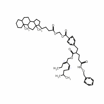 CC/C=C(\C=C/CC(C)C)COC(=O)C(CCC(=O)NOCc1ccccc1)Cc1ccc(C(=O)OCOC(=O)CCCC2CCC3C4CCC5CCCCC5(C)C4CCC23C)cc1